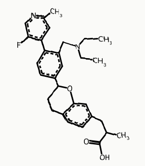 CCN(CC)Cc1cc(C2CCc3ccc(CC(C)C(=O)O)cc3O2)ccc1-c1cc(C)ncc1F